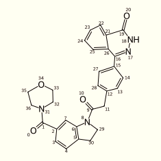 O=C(c1ccc2c(c1)N(C(=O)Cc1ccc(-c3n[nH]c(=O)c4ccccc34)cc1)CC2)N1CCOCC1